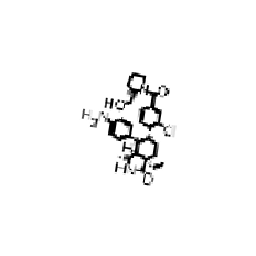 CC[C@@]12CC[C@@H](c3ccc(C(=O)N4CCC[C@@H]4CO)cc3Cl)[C@H](c3ccc(N)cc3)[C@@H]1[C@@H](C)NC2=O